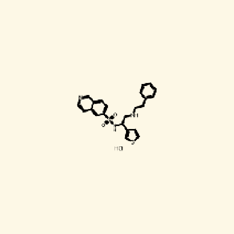 Cl.O=S(=O)(NC(CNCCc1ccccc1)c1ccsc1)c1ccc2cnccc2c1